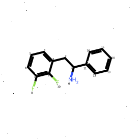 NC(Cc1cccc(F)c1F)c1ccccc1